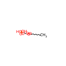 CCCCCCCCOOOCCOP(=O)(O)O